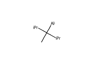 CC(C)[C](C)([Al])C(C)C